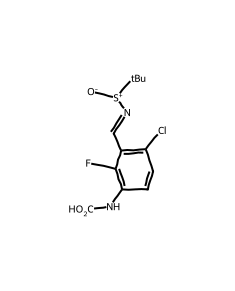 CC(C)(C)[S+]([O-])/N=C/c1c(Cl)ccc(NC(=O)O)c1F